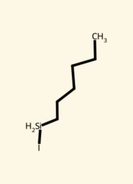 CCCCCC[SiH2]I